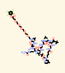 Cc1ccnc(N(CCCCC(=O)NCC(=O)N[C@H](C(=O)N[C@@H](CC(C)C)C(=O)N[C@@H](C)C(=O)NCC(=O)N[C@@H](CC(C)C)C(=O)N[C@@H](CCCNC(N)=O)C(=O)NC(C)(C)C(=O)N[C@@H](CC(C)C)C(=O)NCCOCCOCCOCCOCCOCCC(=O)Oc2c(F)c(F)cc(F)c2F)C2C(=O)C2C(C)(C)C)C(=O)OC(C)(C)C)c1